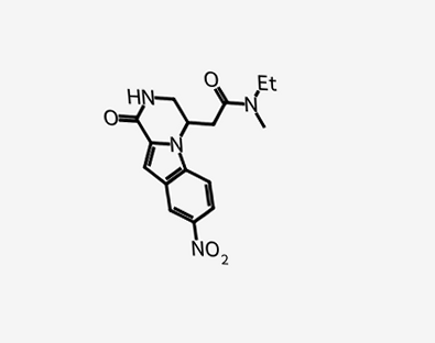 CCN(C)C(=O)CC1CNC(=O)c2cc3cc([N+](=O)[O-])ccc3n21